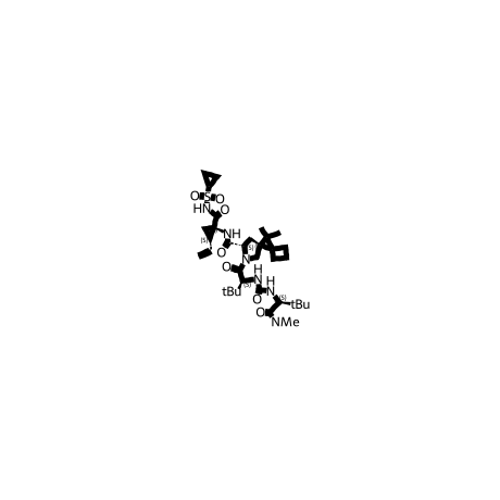 C=C[C@@H]1C[C@]1(NC(=O)[C@@H]1C[C@@]2(CN1C(=O)[C@@H](NC(=O)N[C@H](C(=O)NC)C(C)(C)C)C(C)(C)C)C(C)(C)C21CCC1)C(=O)NS(=O)(=O)C1CC1